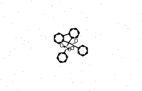 O=S(=O)(c1ccccc1)C1(S(=O)(=O)c2ccccc2)c2ccccc2-c2ccccc21